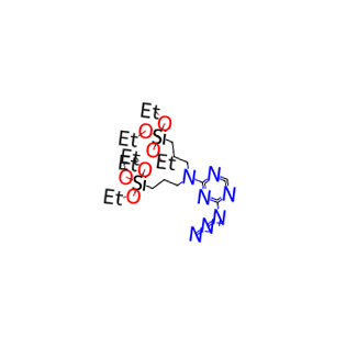 CCO[Si](CCCN(CCC[Si](OCC)(OCC)OCC)c1ncnc(N=[N+]=[N-])n1)(OCC)OCC